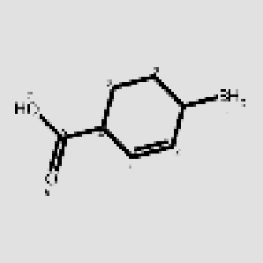 BC1C=CC(C(=O)O)CC1